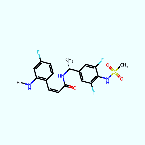 CCNc1cc(F)ccc1/C=C\C(=O)N[C@H](C)c1cc(F)c(NS(C)(=O)=O)c(F)c1